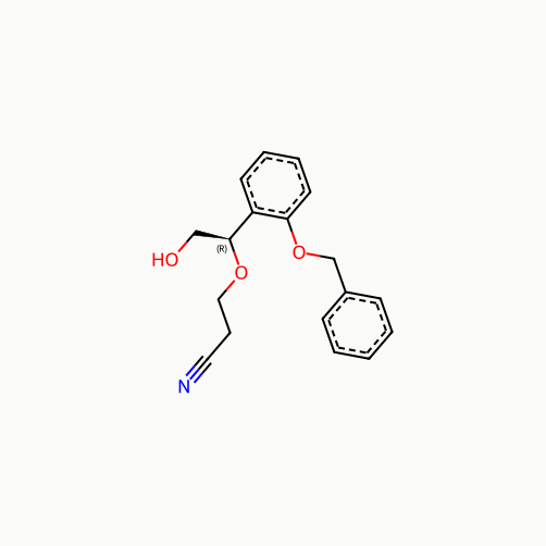 N#CCCO[C@@H](CO)c1ccccc1OCc1ccccc1